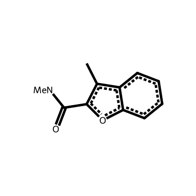 CNC(=O)c1oc2ccccc2c1C